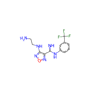 N=C(Nc1cccc(C(F)(F)F)c1)c1nonc1NCCN